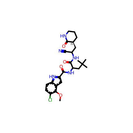 COc1c(Cl)ccc2[nH]c(C(=O)NC(CC(C)(C)C)C(=O)NC(C#N)C[C@@H]3CCCNC3=O)cc12